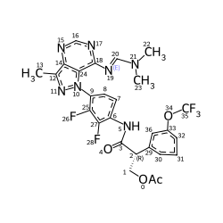 CC(=O)OC[C@H](C(=O)Nc1ccc(-n2nc(C)c3ncnc(/N=C/N(C)C)c32)c(F)c1F)c1cccc(OC(F)(F)F)c1